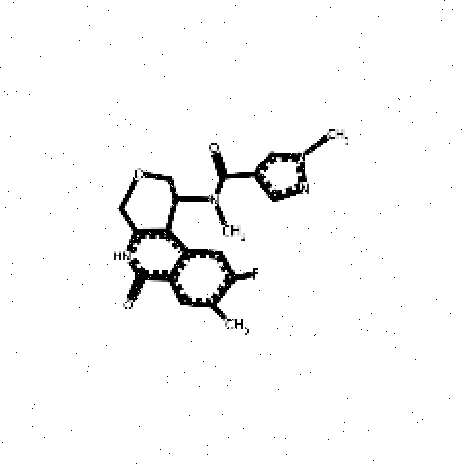 Cc1cc2c(=O)[nH]c3c(c2cc1F)C(N(C)C(=O)c1cnn(C)c1)COC3